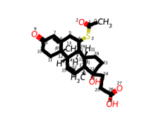 CC(=O)SC1CC2=CC(=O)CC[C@]2(C)[C@H]2C=C[C@@]3(C)[C@@H](CC[C@]3(O)CCC(=O)O)[C@H]12